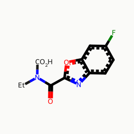 CCN(C(=O)O)C(=O)c1nc2ccc(F)cc2o1